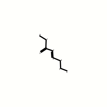 C=C(/C=C/CCC)CC